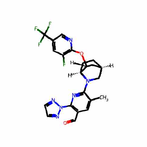 Cc1cc(C=O)c(-n2nccn2)nc1N1C[C@@H]2CC[C@H]1[C@H](Oc1ncc(C(F)(F)F)cc1F)C2